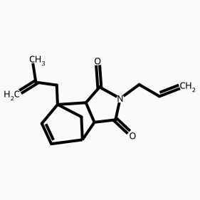 C=CCN1C(=O)C2C3C=CC(CC(=C)C)(C3)C2C1=O